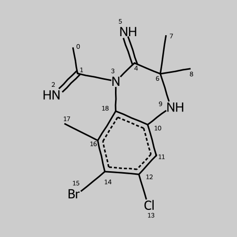 CC(=N)N1C(=N)C(C)(C)Nc2cc(Cl)c(Br)c(C)c21